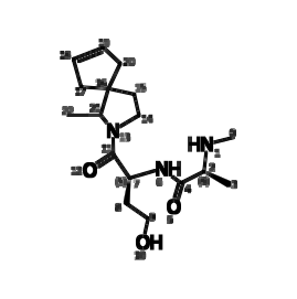 CN[C@@H](C)C(=O)N[C@@H](CCO)C(=O)N1CCC2(CC=CC2)C1C